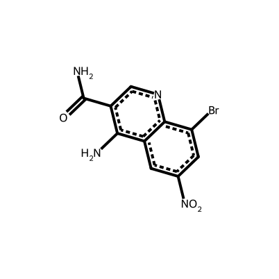 NC(=O)c1cnc2c(Br)cc([N+](=O)[O-])cc2c1N